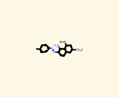 CNc1cc(S(=O)(=O)O)cc2ccc(N=Nc3ccc(C)cc3)c(N)c12